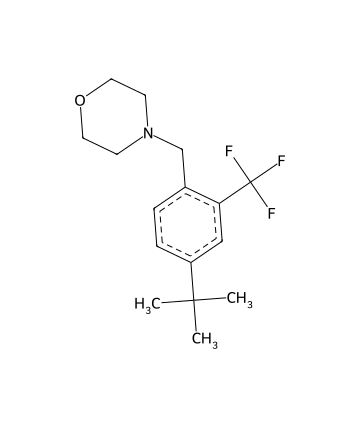 CC(C)(C)c1ccc(CN2CCOCC2)c(C(F)(F)F)c1